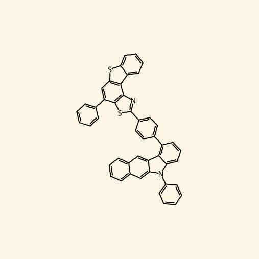 c1ccc(-c2cc3sc4ccccc4c3c3nc(-c4ccc(-c5cccc6c5c5cc7ccccc7cc5n6-c5ccccc5)cc4)sc23)cc1